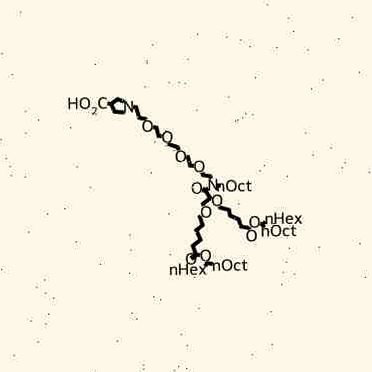 CCCCCCCCC(CCCCCC)OC(=O)CCCCCOCC(OCCCCCC(=O)OC(CCCCCC)CCCCCCCC)C(=O)N(CCCCCCCC)CCOCCOCCOCCOCCCN1CCC(C(=O)O)CC1